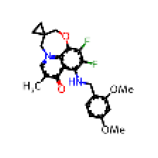 COc1ccc(CNc2c(F)c(F)c3c4c2c(=O)c(C)cn4CC2(CC2)CO3)c(OC)c1